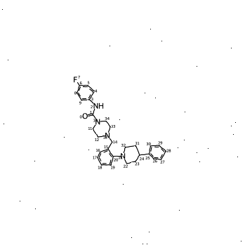 O=C(Nc1ccc(F)cc1)N1CCN(Cc2ccccc2N2CCC(c3ccccc3)CC2)CC1